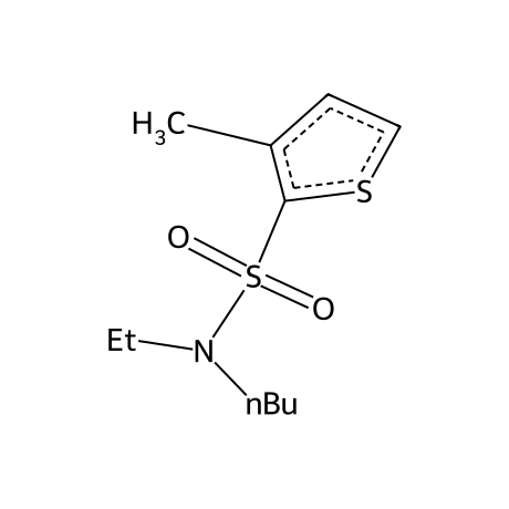 CCCCN(CC)S(=O)(=O)c1sccc1C